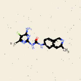 Cc1cc2cc(NC(=O)Nc3nc(N)c(F)c(C(F)(F)F)n3)ccc2cn1